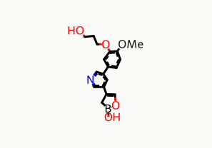 COc1ccc(-c2cncc(C3=COB(O)C3)c2)cc1OCCCO